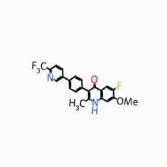 COc1cc2[nH]c(C)c(-c3ccc(-c4ccc(C(F)(F)F)nc4)cc3)c(=O)c2cc1F